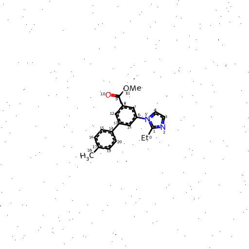 CCc1nccn1-c1cc(C(=O)OC)cc(-c2ccc(C)cc2)c1